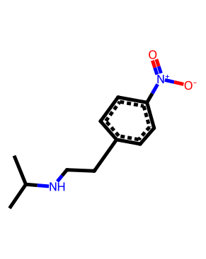 CC(C)NCCc1ccc([N+](=O)[O-])cc1